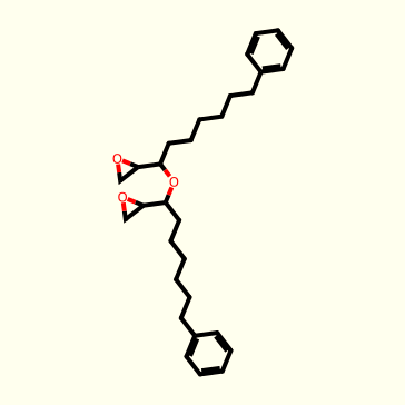 c1ccc(CCCCCCC(OC(CCCCCCc2ccccc2)C2CO2)C2CO2)cc1